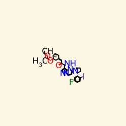 CCOC(C)O[C@H]1CCC/C(=C/C(=O)C(=N)c2cnn3ccc(N4CCC[C@@H]4c4cc(F)ccc4I)nc23)C1